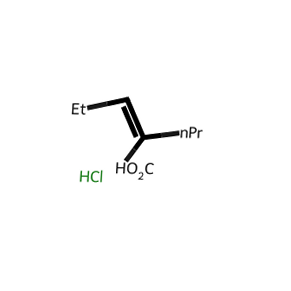 CCC=C(CCC)C(=O)O.Cl